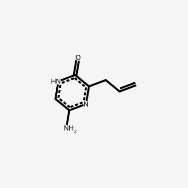 C=CCc1nc(N)c[nH]c1=O